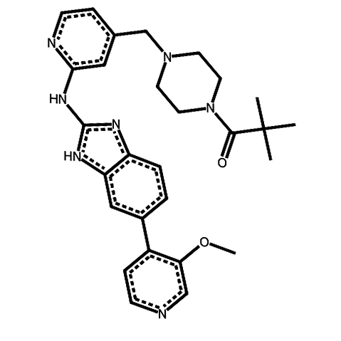 COc1cnccc1-c1ccc2nc(Nc3cc(CN4CCN(C(=O)C(C)(C)C)CC4)ccn3)[nH]c2c1